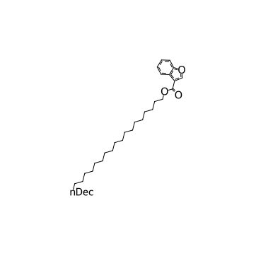 CCCCCCCCCCCCCCCCCCCCCCCCCCCCOC(=O)c1coc2ccccc12